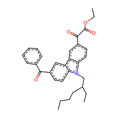 CCCCC(CC)Cn1c2ccc(C(=O)C(=O)OCC)cc2c2cc(C(=O)c3ccccc3)ccc21